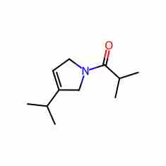 CC(C)C(=O)N1CC=C(C(C)C)C1